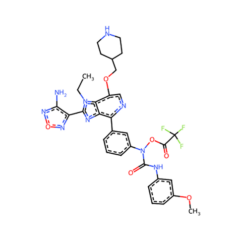 CCn1c(-c2nonc2N)nc2c(-c3cccc(N(OC(=O)C(F)(F)F)C(=O)Nc4cccc(OC)c4)c3)ncc(OCC3CCNCC3)c21